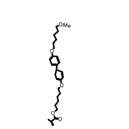 C=C(C)C(=O)OCCCCCCOC1=CCC(c2ccc(OCCCCCCOC)cc2)C=C1